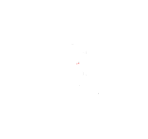 CCNC(=O)N1C2CNCC1(C1CCCCC1)COC2